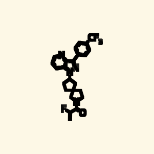 C=C(F)C(=O)N1CCC2(CCC(n3nc(-c4ccc(C(F)(F)F)cc4)c4ncccc43)C2)C1